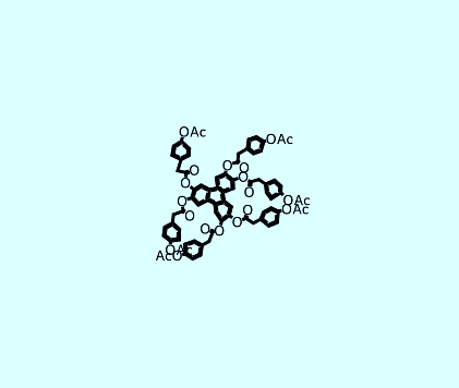 CC(=O)Oc1ccc(CC(=O)Oc2cc3c4cc(OC(=O)Cc5ccc(OC(C)=O)cc5)c(OC(=O)Cc5ccc(OC(C)=O)cc5)cc4c4cc(OC(=O)Cc5ccc(OC(C)=O)cc5)c(OC(=O)Cc5ccc(OC(C)=O)cc5)cc4c3cc2OC(=O)Cc2ccc(OC(C)=O)cc2)cc1